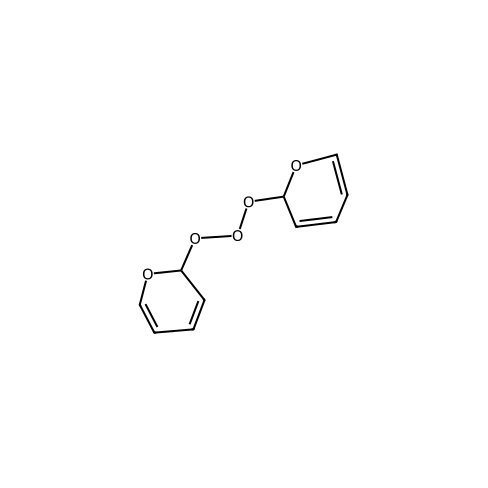 C1=COC(OOOC2C=CC=CO2)C=C1